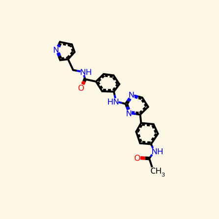 CC(=O)Nc1ccc(-c2ccnc(Nc3cccc(C(=O)NCc4cccnc4)c3)n2)cc1